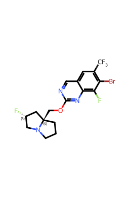 Fc1c(Br)c(C(F)(F)F)cc2cnc(OC[C@@]34CCCN3C[C@H](F)C4)nc12